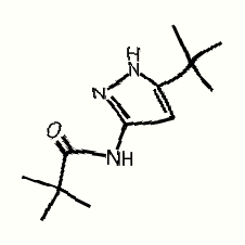 CC(C)(C)C(=O)Nc1cc(C(C)(C)C)[nH]n1